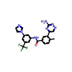 Cc1ccc(C(=O)Nc2cc(-n3ccnc3)cc(C(F)(F)F)c2)cc1-c1cnnc(N)n1